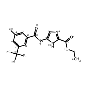 CCOC(=O)c1ncc(NC(=O)c2cc(F)cc(C(F)(F)F)c2)[nH]1